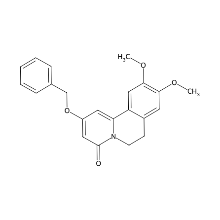 COc1cc2c(cc1OC)-c1cc(OCc3ccccc3)cc(=O)n1CC2